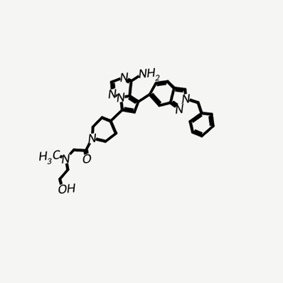 CN(CCO)CC(=O)N1CCC(c2cc(-c3ccc4cn(Cc5ccccc5)nc4c3)c3c(N)ncnn23)CC1